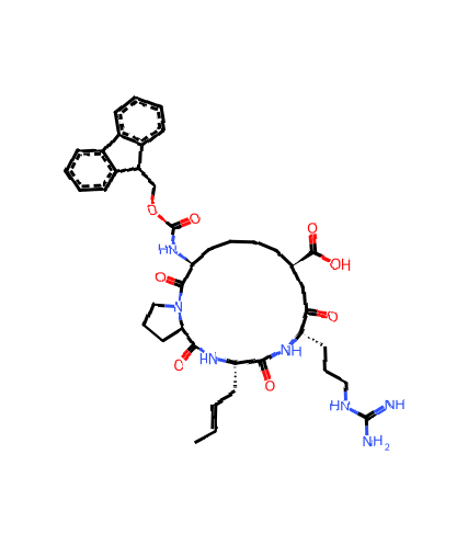 CC=CC[C@@H]1NC(=O)C2CCCN2C(=O)[C@@H](NC(=O)OCC2c3ccccc3-c3ccccc32)CCCC[C@@H](C(=O)O)CC(=O)[C@H](CCCNC(=N)N)NC1=O